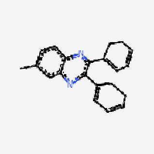 Cc1ccc2nc(C3=CC=CCC3)c(C3=CC=CCC3)nc2c1